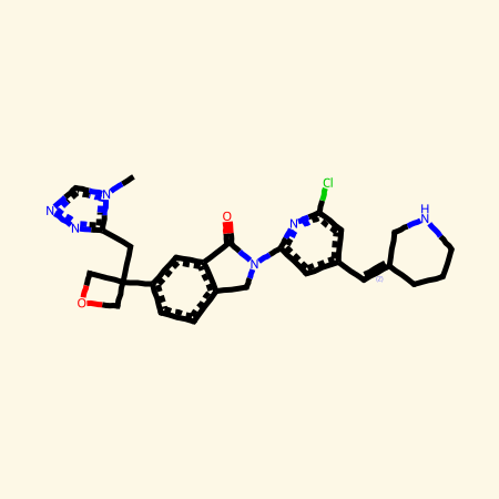 Cn1cnnc1CC1(c2ccc3c(c2)C(=O)N(c2cc(/C=C4/CCCNC4)cc(Cl)n2)C3)COC1